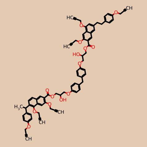 C#CCOc1ccc(CCc2cc(OCC#C)c3cc(OCC#C)c(C(=O)OCC(O)COc4ccc(Cc5ccc(OCC(O)COC(=O)c6cc7ccc(C(C)c8ccc(OCC#C)cc8)c(OCC#C)c7cc6OCC#C)cc5)cc4)cc3c2)cc1